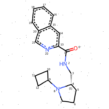 O=C(NC[C@@H]1CCCN1C1CCC1)c1cc2ccccc2cn1